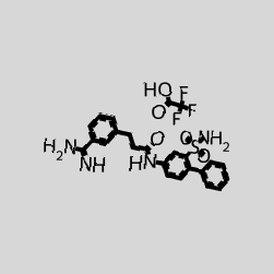 N=C(N)c1cccc(CCC(=O)Nc2ccc(-c3ccccc3)c(S(N)(=O)=O)c2)c1.O=C(O)C(F)(F)F